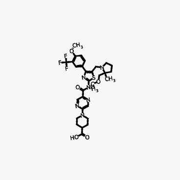 COCC1(C)CCCN1Cc1sc(NC(=O)c2cnc(N3CCC(C(=O)O)CC3)cn2)nc1-c1ccc(OC)c(C(F)(F)F)c1